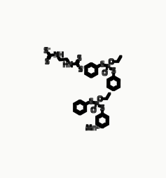 CCOP(=O)(Sc1ccccc1)Sc1ccccc1.CCOP(=O)(Sc1ccccc1)Sc1ccccc1.S=C([S-])NCCNC(=S)[S-].[Mn+2]